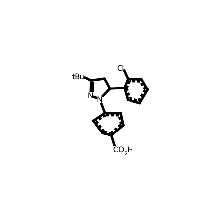 CC(C)(C)C1=NN(c2ccc(C(=O)O)cc2)C(c2ccccc2Cl)C1